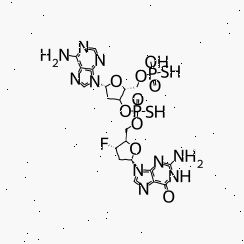 Nc1nc2c(ncn2[C@H]2C[C@H](F)[C@@H](COP(=O)(S)OC3C[C@H](n4cnc5c(N)ncnc54)O[C@@H]3COP(=O)(O)S)O2)c(=O)[nH]1